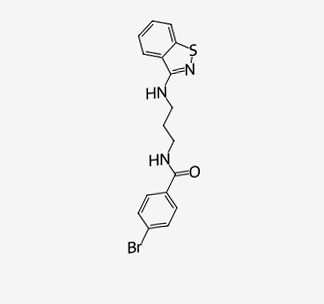 O=C(NCCCNc1nsc2ccccc12)c1ccc(Br)cc1